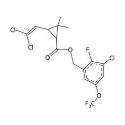 CC1(C)C(C=C(Cl)Cl)C1C(=O)OCc1cc(OC(F)(F)F)cc(Cl)c1F